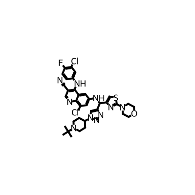 CC(C)(C)N1CCC(n2cc(C(Nc3cc(Cl)c4ncc(C#N)c(Nc5ccc(F)c(Cl)c5)c4c3)c3csc(N4CCOCC4)n3)nn2)CC1